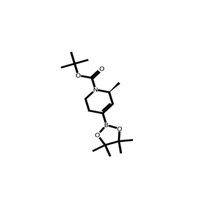 C[C@H]1C=C(B2OC(C)(C)C(C)(C)O2)CCN1C(=O)OC(C)(C)C